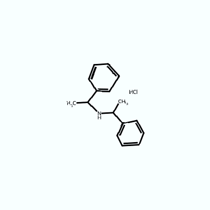 CC(NC(C)c1ccccc1)c1ccccc1.Cl